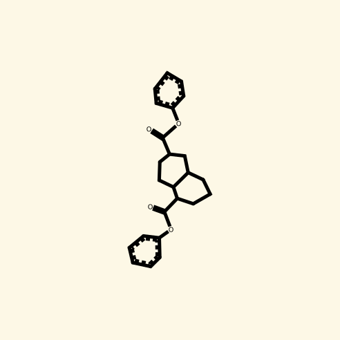 O=C(Oc1ccccc1)C1CCC2C(CCCC2C(=O)Oc2ccccc2)C1